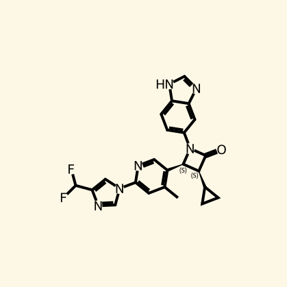 Cc1cc(-n2cnc(C(F)F)c2)ncc1[C@@H]1[C@H](C2CC2)C(=O)N1c1ccc2[nH]cnc2c1